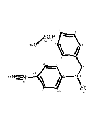 CCN(Cc1ccccc1)c1ccc([N+]#N)cc1.O=S(=O)([O-])O